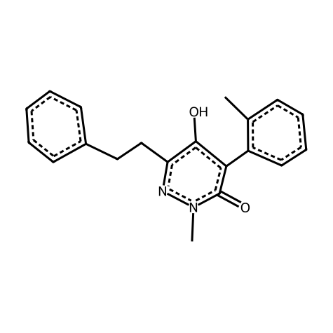 Cc1ccccc1-c1c(O)c(CCc2ccccc2)nn(C)c1=O